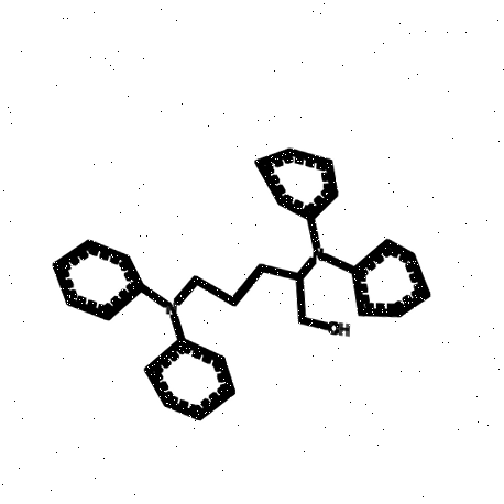 OCC(CCCN(c1ccccc1)c1ccccc1)N(c1ccccc1)c1ccccc1